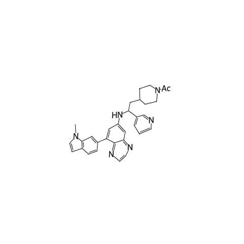 CC(=O)N1CCC(CC(Nc2cc(-c3ccc4ccn(C)c4c3)c3nccnc3c2)c2cccnc2)CC1